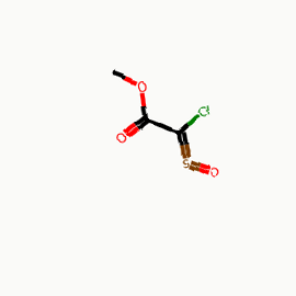 COC(=O)C(Cl)=S=O